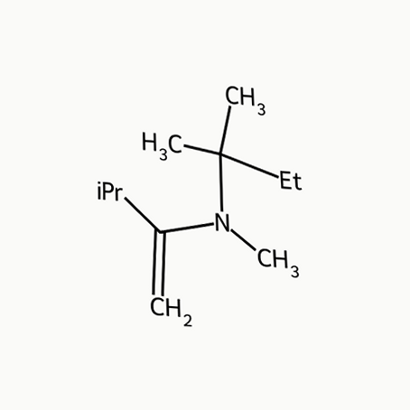 C=C(C(C)C)N(C)C(C)(C)CC